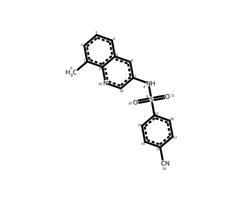 Cc1cccc2cc(NS(=O)(=O)c3ccc(C#N)cc3)cnc12